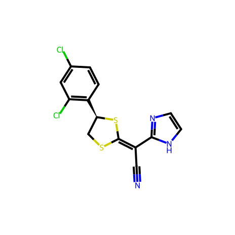 N#CC(=C1SC[C@@H](c2ccc(Cl)cc2Cl)S1)c1ncc[nH]1